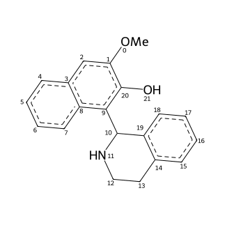 COc1cc2ccccc2c(C2NCCc3ccccc32)c1O